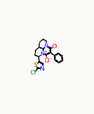 O=c1c(-c2ccccc2)c([O-])[n+]2c3n1CCCC3CCC2c1cnc(Cl)s1